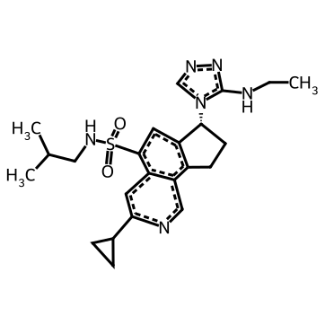 CCNc1nncn1[C@@H]1CCc2c1cc(S(=O)(=O)NCC(C)C)c1cc(C3CC3)ncc21